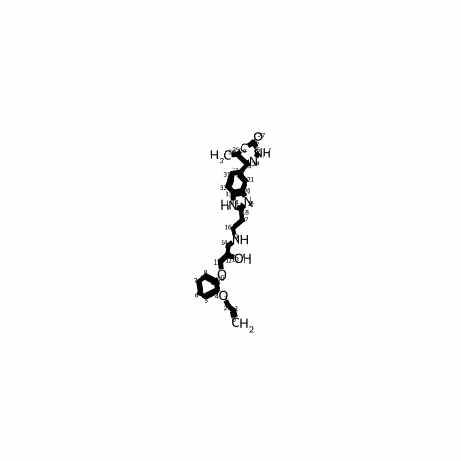 C=CCOc1ccccc1OCC(O)CNCCc1nc2cc(C3=NNC(=O)CC3C)ccc2[nH]1